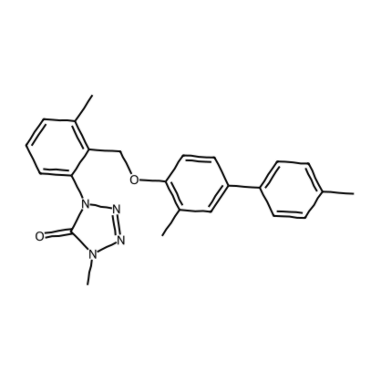 Cc1ccc(-c2ccc(OCc3c(C)cccc3-n3nnn(C)c3=O)c(C)c2)cc1